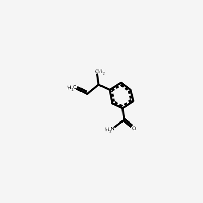 [CH2]C(C=C)c1cccc(C(N)=O)c1